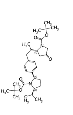 CC(Cc1ccc([C@H]2CC[C@@H](C(C)C)N2C(=O)OC(C)(C)C)cc1)[C@@H]1CC(=O)CN1C(=O)OC(C)(C)C